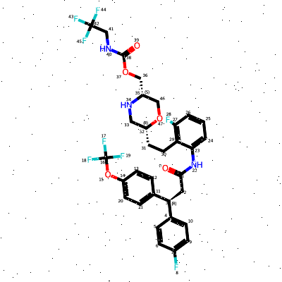 O=C(C[C@@H](c1ccc(F)cc1)c1ccc(OC(F)(F)F)cc1)Nc1cccc(F)c1CC[C@@H]1CN[C@H](COC(=O)NCC(F)(F)F)CO1